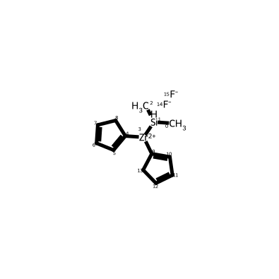 C[SiH](C)[Zr+2]([C]1=CC=CC1)[C]1=CC=CC1.[F-].[F-]